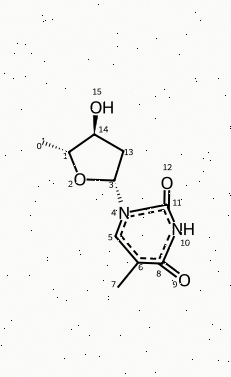 [CH2][C@H]1O[C@@H](n2cc(C)c(=O)[nH]c2=O)C[C@@H]1O